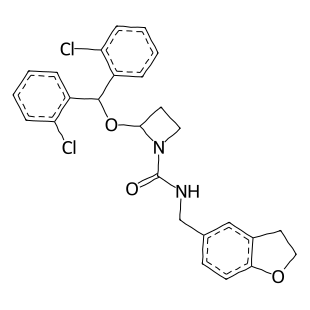 O=C(NCc1ccc2c(c1)CCO2)N1CCC1OC(c1ccccc1Cl)c1ccccc1Cl